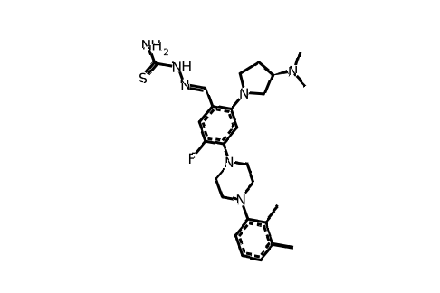 Cc1cccc(N2CCN(c3cc(N4CC[C@@H](N(C)C)C4)c(/C=N/NC(N)=S)cc3F)CC2)c1C